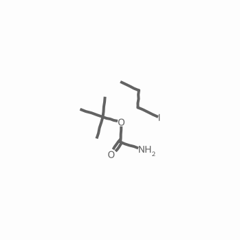 CC(C)(C)OC(N)=O.CCCI